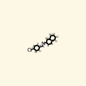 Clc1ccc(/C=N/c2ccc3ccccc3c2)cc1